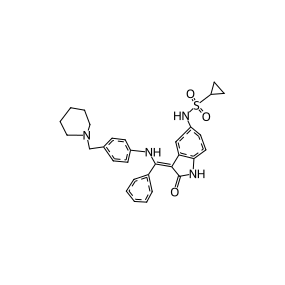 O=C1Nc2ccc(NS(=O)(=O)C3CC3)cc2/C1=C(\Nc1ccc(CN2CCCCC2)cc1)c1ccccc1